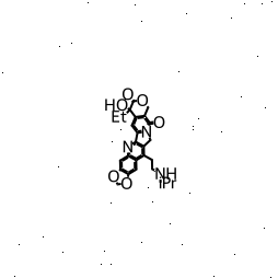 CCC1(O)C(=O)OCc2c1cc1n(c2=O)Cc2c-1nc1cc3c(cc1c2CCNC(C)C)OCO3